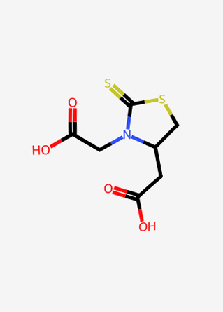 O=C(O)CC1CSC(=S)N1CC(=O)O